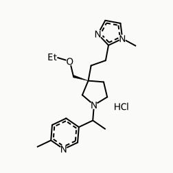 CCOC[C@@]1(CCc2nccn2C)CCN(C(C)c2ccc(C)nc2)C1.Cl